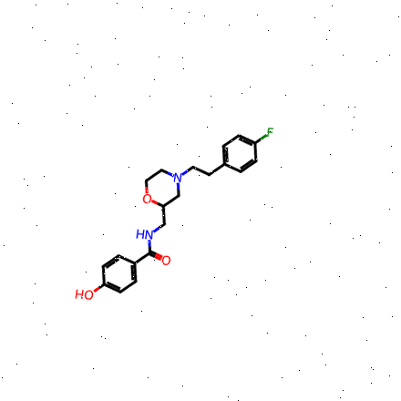 O=C(NCC1CN(CCc2ccc(F)cc2)CCO1)c1ccc(O)cc1